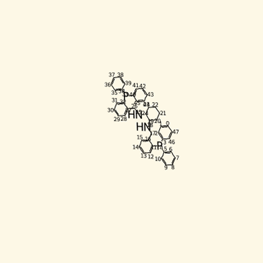 c1ccc(P(c2ccccc2)c2ccccc2CN[C@@H]2CCCC[C@H]2NCc2ccccc2P(c2ccccc2)c2ccccc2)cc1